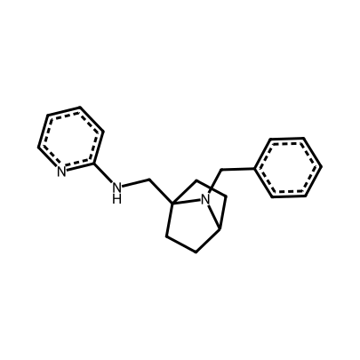 c1ccc(CN2C3CCC2(CNc2ccccn2)CC3)cc1